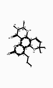 CCCc1cc(=O)oc2c3c(c4c(c12)OC(C)(C)C=C4)O[C@H](C)[C@H](C)C3=O